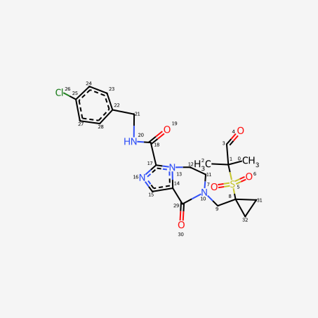 CC(C)(C=O)S(=O)(=O)C1(CN2CCn3c(cnc3C(=O)NCc3ccc(Cl)cc3)C2=O)CC1